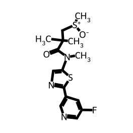 CN(C(=O)C(C)(C)C[S+](C)[O-])c1cnc(-c2cncc(F)c2)s1